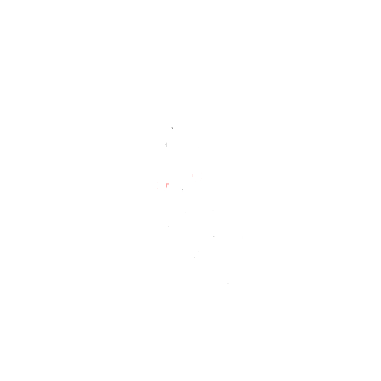 CCC1CC(CC)C(OC(=O)c2ccc3ccccc3c2)C1